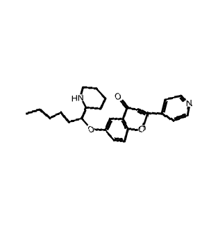 CCCCCC(Oc1ccc2oc(-c3ccncc3)cc(=O)c2c1)C1CCCCN1